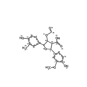 COc1cc(C2OC(c3ccc(O)c(C)c3)C(OC=O)C2C(=O)O)ccc1O